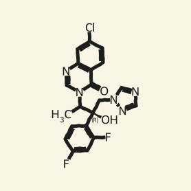 CC(n1cnc2cc(Cl)ccc2c1=O)[C@](O)(Cn1cncn1)c1ccc(F)cc1F